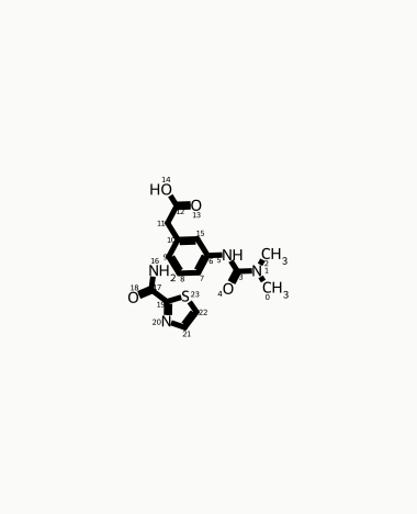 CN(C)C(=O)Nc1cccc(CC(=O)O)c1.NC(=O)c1nccs1